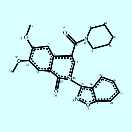 COc1cc2c(C(=O)N3CCCCC3)cn(-c3noc4ccccc34)c(=O)c2cc1OC